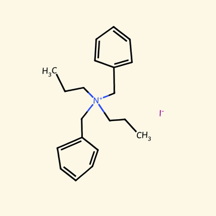 CCC[N+](CCC)(Cc1ccccc1)Cc1ccccc1.[I-]